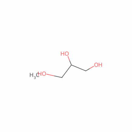 OCC(O)CO.[CH3]